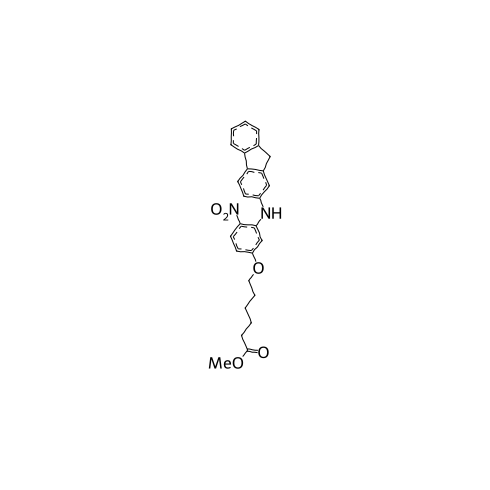 COC(=O)CCCCCOc1ccc([N+](=O)[O-])c(Nc2ccc3c(c2)Cc2ccccc2-3)c1